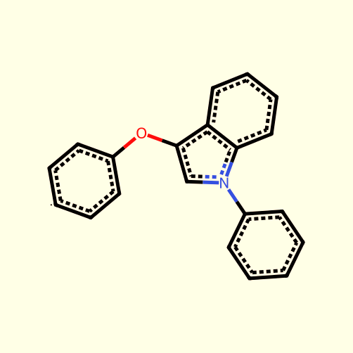 [c]1ccc(Oc2cn(-c3ccccc3)c3ccccc23)cc1